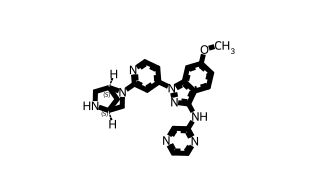 COc1ccc2c(Nc3cnccn3)nn(-c3ccnc(N4C[C@@H]5C[C@H]4CN5)c3)c2c1